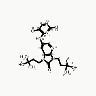 CC(C)(O)CCn1c(=O)n(CCC(C)(C)O)c2ncc(Nc3nc(Cl)ncc3Cl)cc21